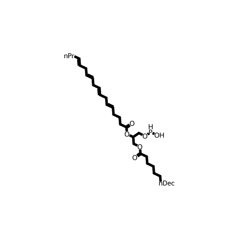 CCC/C=C/C/C=C/C/C=C/C/C=C/CCCC(=O)OC(COPO)COC(=O)CCCCCCCCCCCCCCC